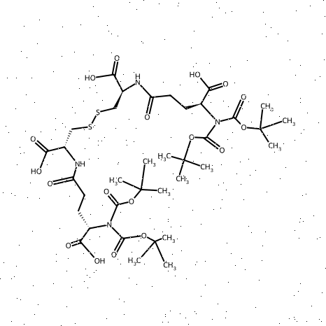 CC(C)(C)OC(=O)N(C(=O)OC(C)(C)C)[C@@H](CCC(=O)N[C@@H](CSSC[C@H](NC(=O)CC[C@@H](C(=O)O)N(C(=O)OC(C)(C)C)C(=O)OC(C)(C)C)C(=O)O)C(=O)O)C(=O)O